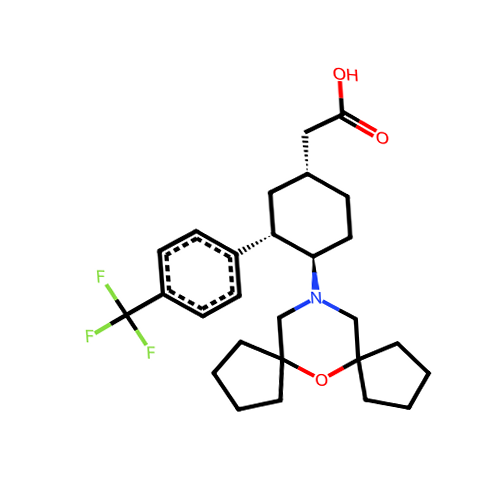 O=C(O)C[C@@H]1CC[C@@H](N2CC3(CCCC3)OC3(CCCC3)C2)[C@H](c2ccc(C(F)(F)F)cc2)C1